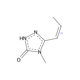 C/C=C\c1n[nH]c(=O)n1C